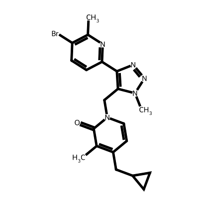 Cc1nc(-c2nnn(C)c2Cn2ccc(CC3CC3)c(C)c2=O)ccc1Br